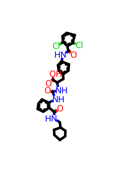 O=C(Nc1ccccc1C(=O)NCC1CCCCC1)NC(Cc1ccc(NC(=O)c2c(Cl)cccc2Cl)cc1)C(=O)O